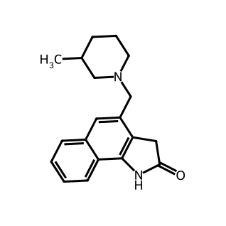 CC1CCCN(Cc2cc3ccccc3c3c2CC(=O)N3)C1